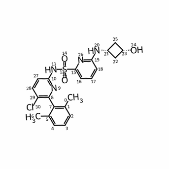 Cc1cccc(C)c1-c1nc(NS(=O)(=O)c2cccc(N[C@H]3C[C@@H](O)C3)n2)ccc1Cl